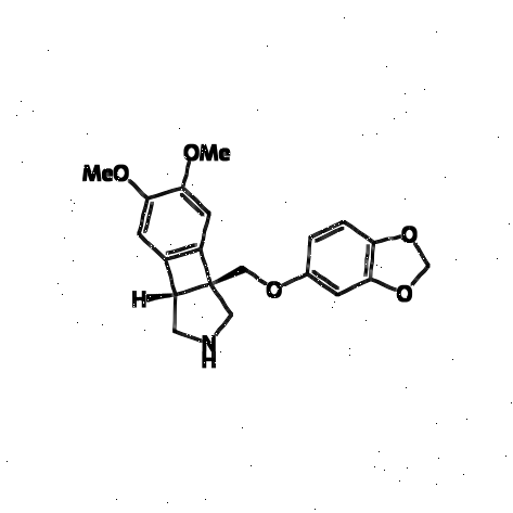 COc1cc2c(cc1OC)[C@]1(COc3ccc4c(c3)OCO4)CNC[C@H]21